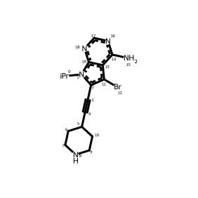 CC(C)n1c(C#CC2CCNCC2)c(Br)c2c(N)ncnc21